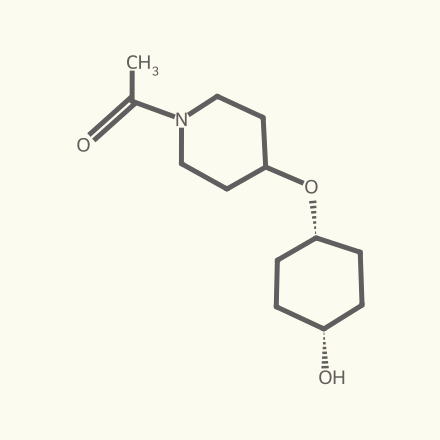 CC(=O)N1CCC(O[C@H]2CC[C@@H](O)CC2)CC1